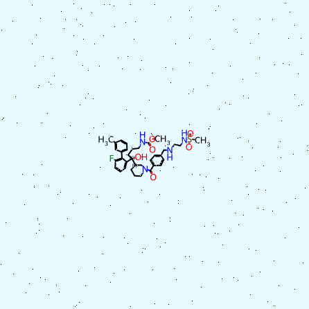 COC(=O)NCCC[C@@](O)(c1cccc(F)c1-c1cccc(C)c1)[C@@H]1CCCN(C(=O)c2ccc(CNCCNS(C)(=O)=O)cc2)C1